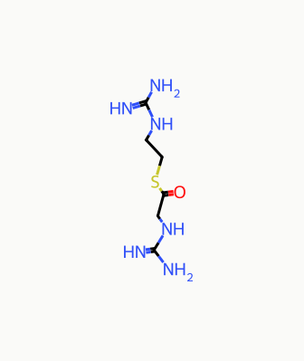 N=C(N)NCCSC(=O)CNC(=N)N